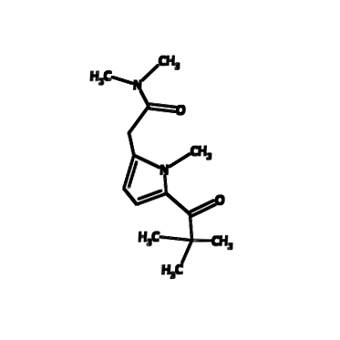 CN(C)C(=O)Cc1ccc(C(=O)C(C)(C)C)n1C